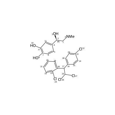 CNC[C@H](O)c1ccc(O)c(O)c1.Clc1ccc(C(c2ccccc2Cl)C(Cl)Cl)cc1